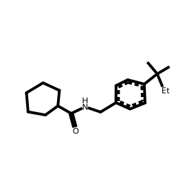 CCC(C)(C)c1ccc(CNC(=O)C2CCCCC2)cc1